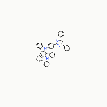 c1ccc(-c2cc(-c3ccccc3)nc(-c3ccc(-n4c5ccccc5c5ccc6c(c7ccccc7n6-c6ccccc6-c6ccccc6)c54)cc3)n2)cc1